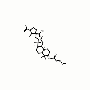 C=C(C)[C@@H]1CC[C@@](CCC(C)(C)[C@]2(C)CCC3C(C)(C)[C@@H](NC(=O)/C=N/OC)CC[C@]3(C)C2CCC)(C(=O)O)C1C